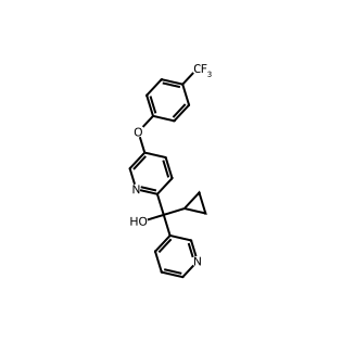 OC(c1cccnc1)(c1ccc(Oc2ccc(C(F)(F)F)cc2)cn1)C1CC1